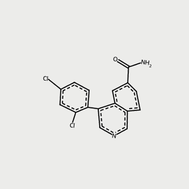 NC(=O)c1ccc2cncc(-c3ccc(Cl)cc3Cl)c2c1